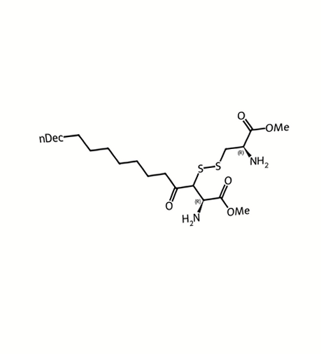 CCCCCCCCCCCCCCCCCC(=O)C(SSC[C@H](N)C(=O)OC)[C@H](N)C(=O)OC